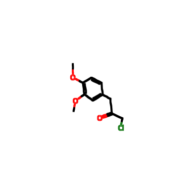 COc1ccc(CC(=O)CCl)cc1OC